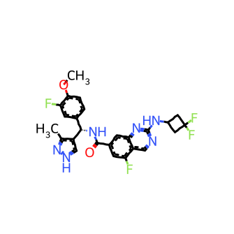 COc1ccc([C@H](NC(=O)c2cc(F)c3cnc(NC4CC(F)(F)C4)nc3c2)c2c[nH]nc2C)cc1F